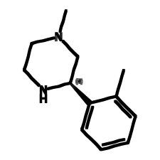 Cc1ccccc1[C@@H]1CN(C)CCN1